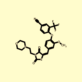 COc1cc(C=C2SC(=O)N(CCN3CCOCC3)C2=O)ccc1Oc1ccc(C#N)cc1C(F)(F)F